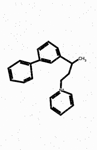 CC(CC[n+]1ccccc1)c1cccc(-c2ccccc2)c1